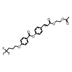 CC(=O)OCCOC(=O)/C=C/c1ccc(OC(=O)c2ccc(OCCCC(F)(F)F)cc2)cc1